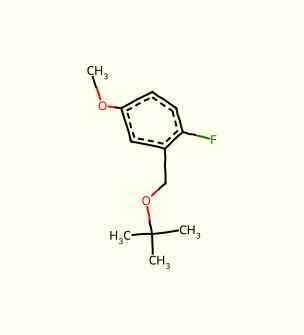 COc1ccc(F)c(COC(C)(C)C)c1